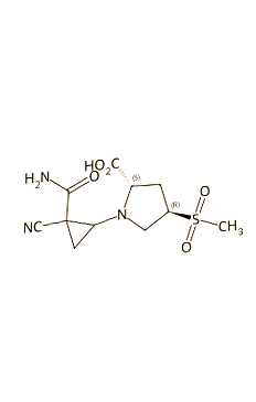 CS(=O)(=O)[C@@H]1C[C@@H](C(=O)O)N(C2CC2(C#N)C(N)=O)C1